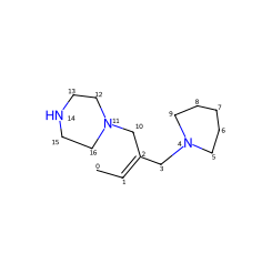 CC=C(CN1CCCCC1)CN1CCNCC1